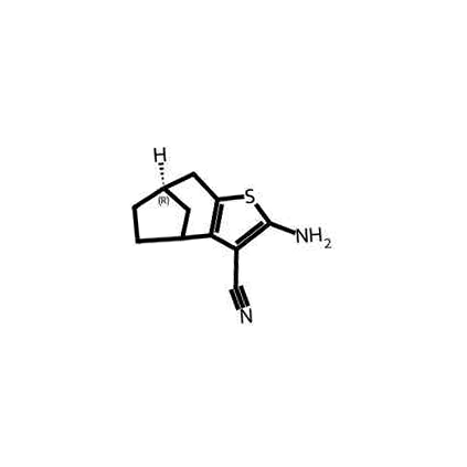 N#Cc1c(N)sc2c1C1CC[C@@H](C2)C1